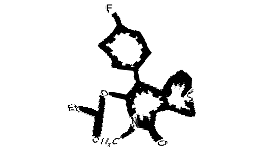 CCC(=O)Oc1c(-c2ccc(F)cc2)c2cscc2c(=O)n1C